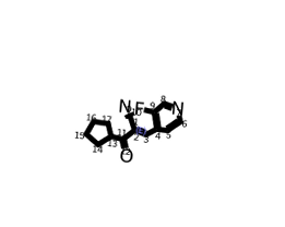 N#C/C(=C\c1ccncc1F)C(=O)C1CCCC1